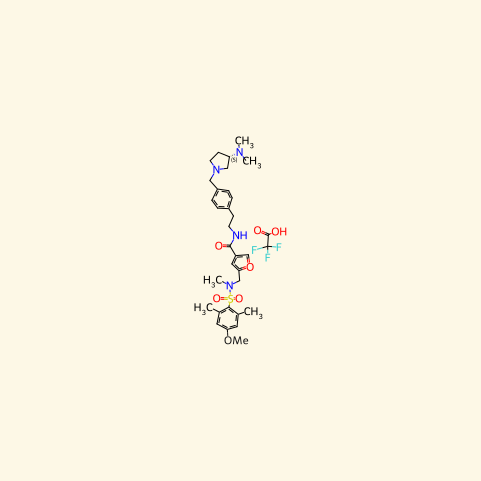 COc1cc(C)c(S(=O)(=O)N(C)Cc2cc(C(=O)NCCc3ccc(CN4CC[C@H](N(C)C)C4)cc3)co2)c(C)c1.O=C(O)C(F)(F)F